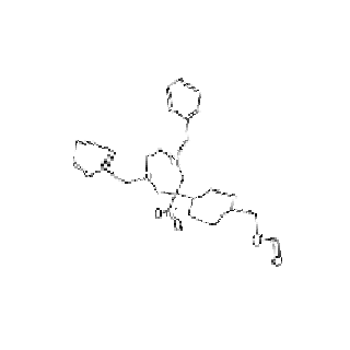 O=COCC1CCC(C2([N+](=O)[O-])CN(Cc3ccccc3)CCN(Cc3ccccc3)C2)CC1